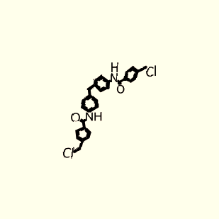 O=C(Nc1ccc(Cc2ccc(NC(=O)c3ccc(CCl)cc3)cc2)cc1)c1ccc(CCl)cc1